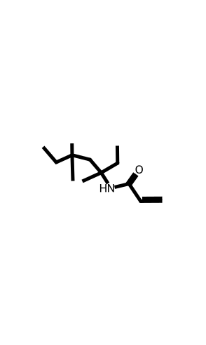 C=CC(=O)NC(C)(CC)CC(C)(C)CC